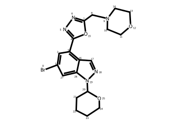 Brc1cc(-c2nnc(CN3CCOCC3)o2)c2cnn(C3CCCCO3)c2c1